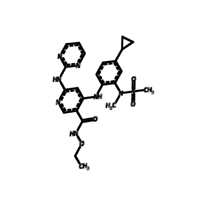 CCONC(=O)c1cnc(Nc2ncccn2)cc1Nc1ccc(C2CC2)cc1N(C)S(C)(=O)=O